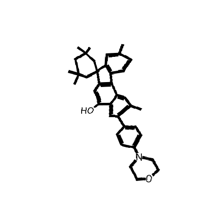 Cc1ccc2c(c1)C1(CC(C)(C)CC(C)(C)C1)c1cc(O)c3cc(-c4ccc(N5CCOCC5)cc4)c(C)cc3c1-2